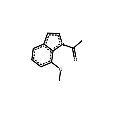 COc1cccc2ccn(C(C)=O)c12